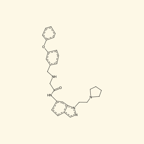 O=C(CNCc1cccc(Oc2ccccc2)c1)Nc1ccc2cnn(CCN3CCCC3)c2c1